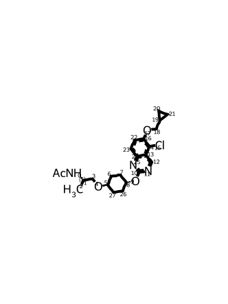 CC(=O)N[C@@H](C)CO[C@H]1CC[C@H](Oc2ncc3c(Cl)c(OCC4CC4)ccc3n2)CC1